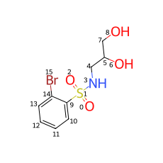 O=S(=O)(NCC(O)CO)c1ccccc1Br